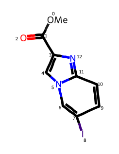 COC(=O)c1cn2cc(I)ccc2n1